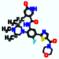 C[C@@H]1CN(c2cc(F)c(-c3ncc(C(=O)N4CCOCC4)s3)cc2NC(=O)c2c[nH]c(=O)cc2C(F)(F)F)C[C@H](C)N1C